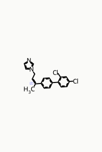 C/C(=C/Cn1ccnc1)c1ccc(-c2ccc(Cl)cc2Cl)cc1